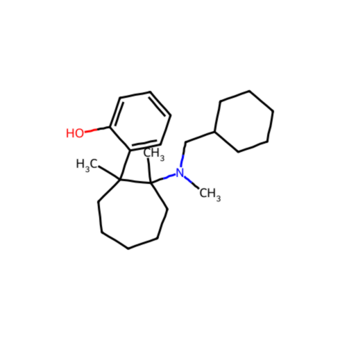 CN(CC1CCCCC1)C1(C)CCCCCC1(C)c1ccccc1O